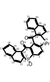 CCCc1ccc(P=O)c(C(=O)c2c(C)ccc3ccccc23)c1C(=O)c1c(C)ccc2ccccc12